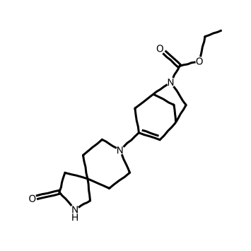 CCOC(=O)N1CC2C=C(N3CCC4(CC3)CNC(=O)C4)CC1C2